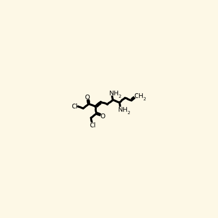 C=CCC(N)C(N)CC=C(C(=O)CCl)C(=O)CCl